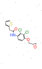 O=C(Cc1cccs1)Nc1ccc(OCC2CO2)c(Cl)c1Cl